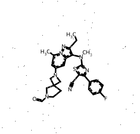 CCc1nn2c(C)cc(N3CC4(CCN(C=O)C4)C3)cc2c1N(C)c1nc(-c2ccc(F)cc2)c(C#N)s1